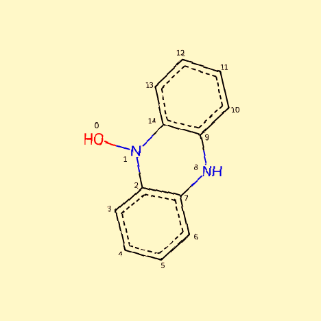 ON1c2ccccc2Nc2ccccc21